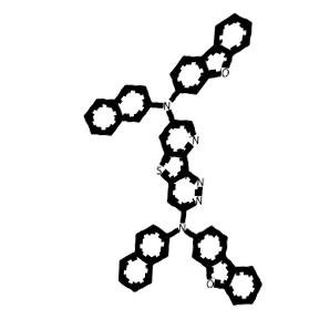 c1ccc2cc(N(c3ccc4c(c3)oc3ccccc34)c3cnc4c(c3)sc3cc(N(c5ccc6ccccc6c5)c5ccc6c(c5)oc5ccccc56)nnc34)ccc2c1